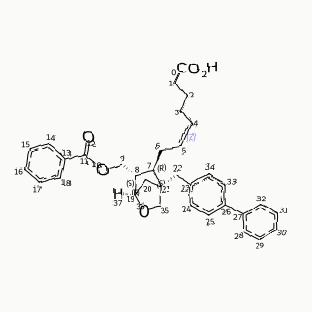 O=C(O)CCC/C=C\C[C@@H]1[C@@H](COC(=O)c2ccccc2)[C@H]2C[C@]1(Cc1ccc(-c3ccccc3)cc1)CO2